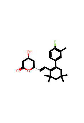 Cc1cc(C2=C(/C=C/[C@H]3C[C@H](O)CC(=O)O3)C(C)(C)CC(C)(C)C2)ccc1F